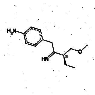 CC[C@H](COC)C(=N)Cc1ccc(N)cc1